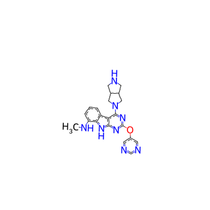 CNc1cccc2c1[nH]c1nc(Oc3cncnc3)nc(N3CC4CNCC4C3)c12